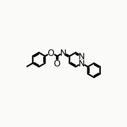 Cc1ccc(OC(=O)N=c2ccn(-c3ccccc3)nc2)cc1